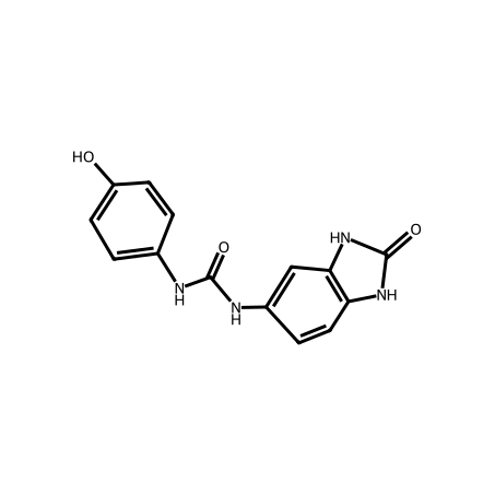 O=C(Nc1ccc(O)cc1)Nc1ccc2[nH]c(=O)[nH]c2c1